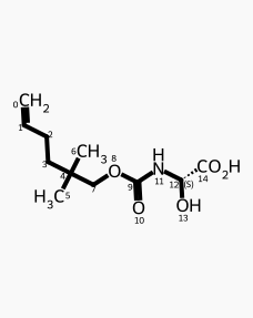 C=CCCC(C)(C)COC(=O)N[C@@H](O)C(=O)O